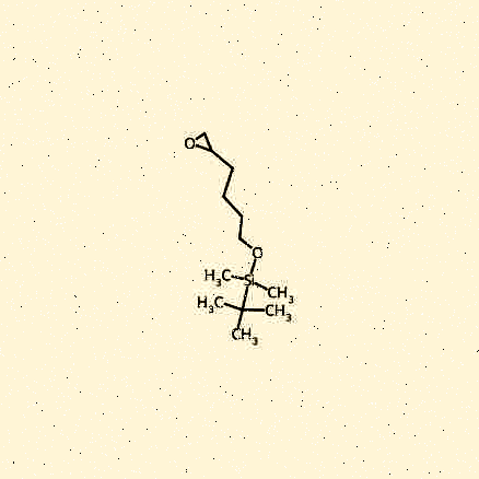 CC(C)(C)[Si](C)(C)OCCCCC1CO1